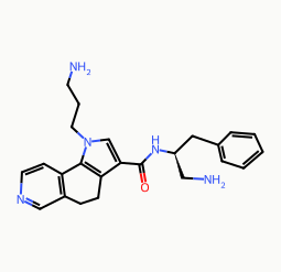 NCCCn1cc(C(=O)N[C@H](CN)Cc2ccccc2)c2c1-c1ccncc1CC2